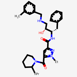 CCCC1CCCCN1C(=O)c1cc(C(=O)N[C@@H](Cc2ccccc2)[C@H](O)CNCc2cccc(C)c2)nn1CC